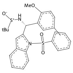 COc1ccc(C)cc1[C@@H](N[S+]([O-])C(C)(C)C)c1cc2ccccc2n1S(=O)(=O)c1ccccc1